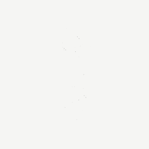 CN(C(=O)[C@@H](N)C1CCC(CC(=O)Nc2ccccc2)CC1)C1CCC1